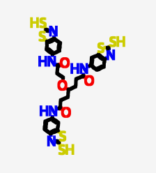 O=C(CCOC(CCC(=O)Nc1ccc2nc(S)sc2c1)CCC(=O)Nc1ccc2nc(S)sc2c1)Nc1ccc2nc(S)sc2c1